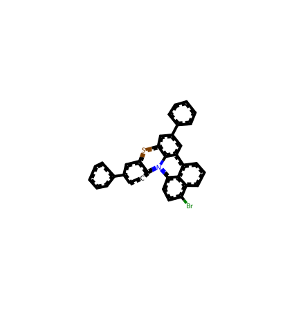 Brc1ccc2c3c1cccc3c1cc(-c3ccccc3)cc3sc4cc(-c5ccccc5)ccc4n2-c31